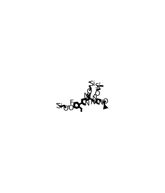 CCc1cc(OCOCC[Si](C)(C)C)c(F)cc1-c1cnc2c(-c3nc4c(n3COCC[Si](C)(C)C)CN(C(=O)C3CC3)C4)n(COCC[Si](C)(C)C)nc2c1